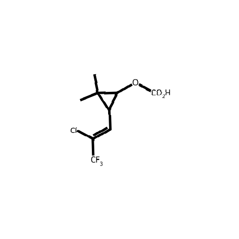 CC1(C)C(C=C(Cl)C(F)(F)F)C1OC(=O)O